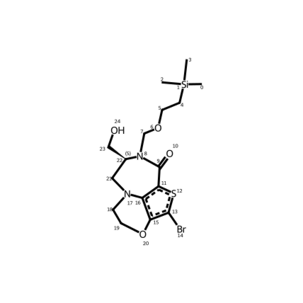 C[Si](C)(C)CCOCN1C(=O)c2sc(Br)c3c2N(CCO3)C[C@H]1CO